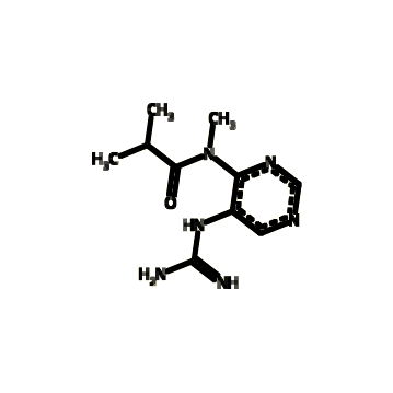 CC(C)C(=O)N(C)c1ncncc1NC(=N)N